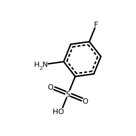 Nc1cc(F)ccc1S(=O)(=O)O